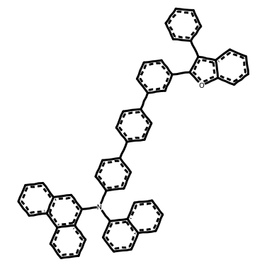 c1ccc(-c2c(-c3cccc(-c4ccc(-c5ccc(N(c6cccc7ccccc67)c6cc7ccccc7c7ccccc67)cc5)cc4)c3)oc3ccccc23)cc1